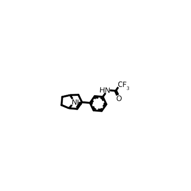 O=C(Nc1cccc(C2=CC3CCC(C2)N3)c1)C(F)(F)F